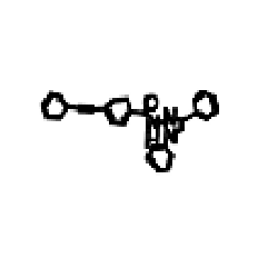 O=C(Nc1nc(-c2ccccc2)cn1-c1ccccc1)c1ccc(C#Cc2ccccc2)cc1